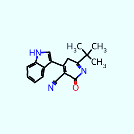 CC(C)(C)C1=NC(=O)C(C#N)=C(c2c[nH]c3ccccc23)C1